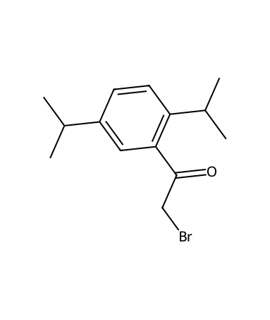 CC(C)c1ccc(C(C)C)c(C(=O)CBr)c1